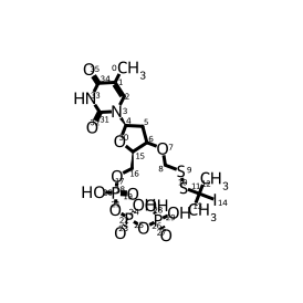 Cc1cn([C@H]2CC(OCSSC(C)(C)I)[C@@H](COP(=O)(O)OP(=O)(O)OP(=O)(O)O)O2)c(=O)[nH]c1=O